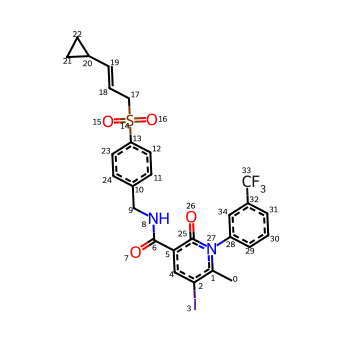 Cc1c(I)cc(C(=O)NCc2ccc(S(=O)(=O)CC=CC3CC3)cc2)c(=O)n1-c1cccc(C(F)(F)F)c1